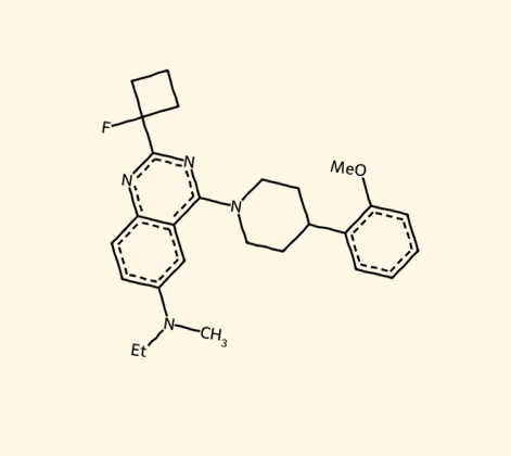 CCN(C)c1ccc2nc(C3(F)CCC3)nc(N3CCC(c4ccccc4OC)CC3)c2c1